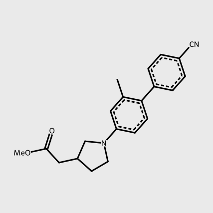 COC(=O)CC1CCN(c2ccc(-c3ccc(C#N)cc3)c(C)c2)C1